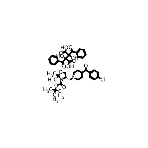 CC(C)(C)OC(=O)N1[C@@H](CN2CCC(C(=O)c3ccc(Cl)cc3)CC2)COC1(C)C.O=C(O)C(O)(C(=O)c1ccccc1)C(O)(C(=O)O)C(=O)c1ccccc1